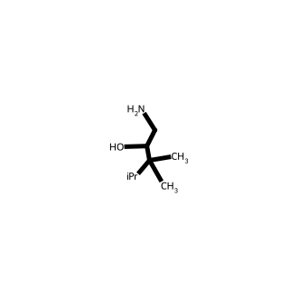 CC(C)C(C)(C)C(O)CN